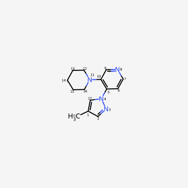 Cc1cnn(-c2ccncc2N2CC[CH]CC2)c1